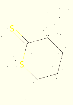 S=C1[C]CCCS1